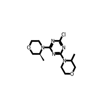 CC1COCCN1c1nc(Cl)nc(N2CCOC[C@@H]2C)n1